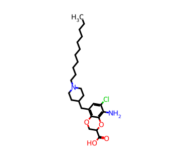 CCCCCCCCCCCN1CCC(Cc2cc(Cl)c(N)c3c2OCC(C(=O)O)O3)CC1